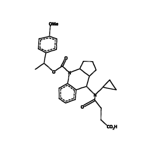 COc1ccc(C(C)OC(=O)N2c3ccccc3C(N(C(=O)CCC(=O)O)C3CC3)C3CCCC32)cc1